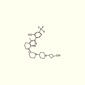 Cc1c(-c2ccc(C(F)(F)F)cc2O)nnc2c1CCCN2[C@@H]1CCCN(C2CCN(C3CC(O)C3)CC2)C1